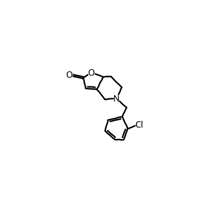 O=C1C=C2CN(Cc3ccccc3Cl)CCC2O1